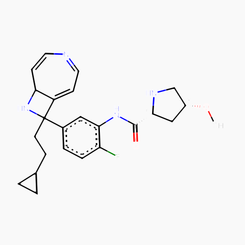 CO[C@H]1CN[C@@H](C(=O)Nc2cc(C3(CCC4CC4)NC4C=CN=CC=C43)ccc2F)C1